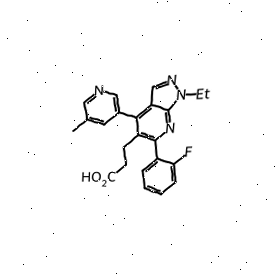 CCn1ncc2c(-c3cncc(C)c3)c(CCC(=O)O)c(-c3ccccc3F)nc21